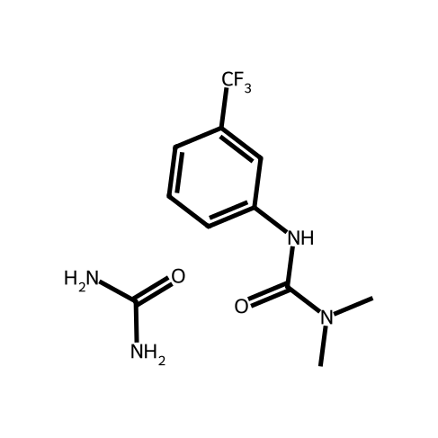 CN(C)C(=O)Nc1cccc(C(F)(F)F)c1.NC(N)=O